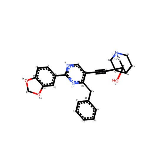 OC1(C#Cc2cnc(-c3ccc4c(c3)OCO4)nc2Cc2ccccc2)CN2CCC1CC2